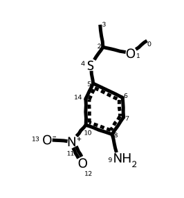 COC(C)Sc1ccc(N)c([N+](=O)[O-])c1